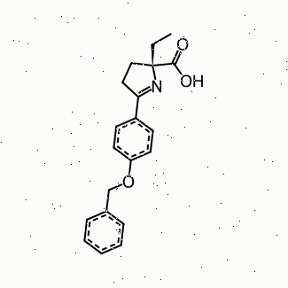 CC[C@]1(C(=O)O)CCC(c2ccc(OCc3ccccc3)cc2)=N1